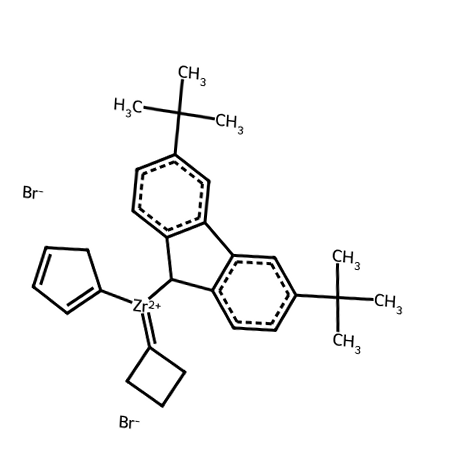 CC(C)(C)c1ccc2c(c1)-c1cc(C(C)(C)C)ccc1[CH]2[Zr+2]([C]1=CC=CC1)=[C]1CCC1.[Br-].[Br-]